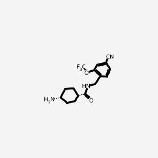 N#Cc1ccc(CNC(=O)[C@H]2CC[C@@H](N)CC2)c(OC(F)(F)F)c1